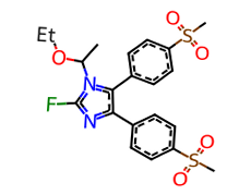 CCOC(C)n1c(F)nc(-c2ccc(S(C)(=O)=O)cc2)c1-c1ccc(S(C)(=O)=O)cc1